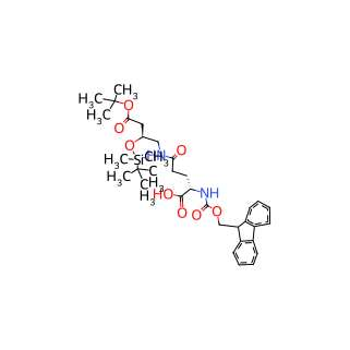 CC(C)(C)OC(=O)C[C@@H](CNC(=O)CC[C@H](NC(=O)OCC1c2ccccc2-c2ccccc21)C(=O)O)O[Si](C)(C)C(C)(C)C